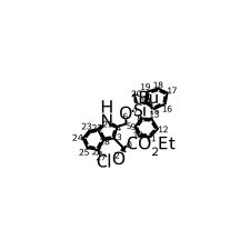 CCOC(=O)C(=O)c1c(CO[Si](c2ccccc2)(c2ccccc2)C(C)(C)C)[nH]c2cccc(Cl)c12